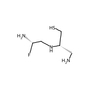 NC[C@@H](CS)NC[C@@H](N)F